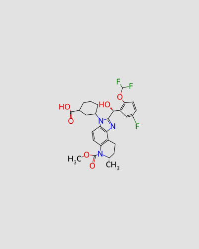 COC(=O)N1c2ccc3c(nc([C@@H](O)c4cc(F)ccc4OC(F)F)n3C3CCCC(C(=O)O)C3)c2CC[C@@H]1C